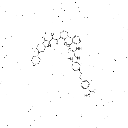 Cn1c(C(=O)Nc2cccc(-c3cccc(NC(=O)c4nc5c(n4C)CCN(C4CCOCC4)C5)c3Cl)c2Cl)nc2c1CCN(CCc1ccc(C(=O)O)cc1)C2